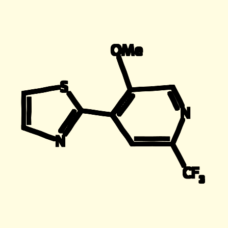 COc1cnc(C(F)(F)F)cc1-c1nccs1